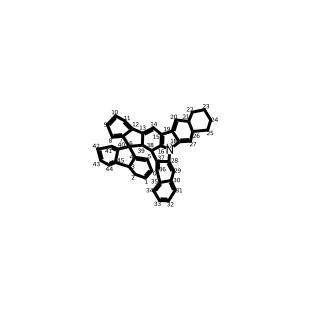 C1=CCC2C(=C1)C1(c3ccccc3C3=Cc4c5n(c6c4=CC4CCCCC4C=6)-c4cc6ccccc6cc4C5C31)c1ccccc12